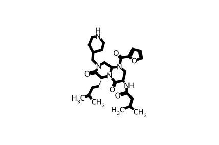 CC(C)CC[C@@H]1C(=O)N(CC2CCNCC2)CC2N(C(=O)c3ccco3)C[C@@H](NC(=O)CC(C)C)C(=O)N21